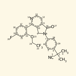 CC(C)(C#N)c1ccc(N2Cc3c(ccnc3-c3ccc(F)cc3OCC(F)(F)F)C2=O)cc1